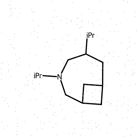 CC(C)C1CC2CC(C2)CN(C(C)C)C1